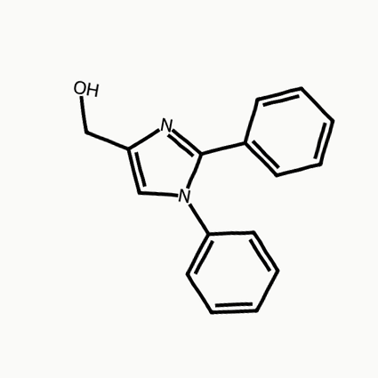 OCc1cn(-c2ccccc2)c(-c2ccccc2)n1